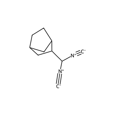 [C-]#[N+]C([N+]#[C-])C1CC2CCC1C2